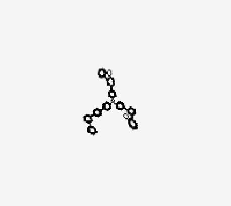 C1=CC2Oc3ccccc3C2C=C1c1ccc(N(c2ccc(-c3ccc(-c4cccc(-c5ccccc5)c4)cc3)cc2)c2ccc(-c3cccc4c3oc3ccccc34)cc2)cc1